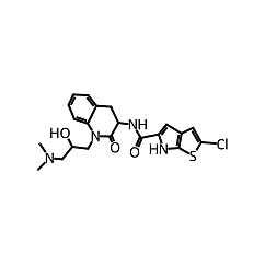 CN(C)CC(O)CN1C(=O)C(NC(=O)c2cc3cc(Cl)sc3[nH]2)Cc2ccccc21